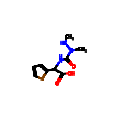 CNN(C)C(=O)NC(C(=O)O)c1cccs1